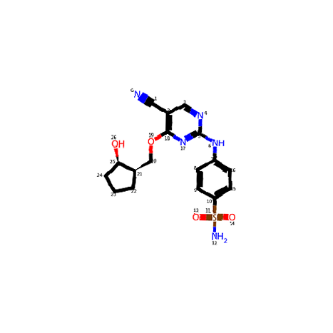 N#Cc1cnc(Nc2ccc(S(N)(=O)=O)cc2)nc1OC[C@H]1CCC[C@H]1O